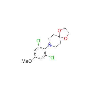 COc1cc(Cl)c(N2CCC3(CC2)OCCO3)c(Cl)c1